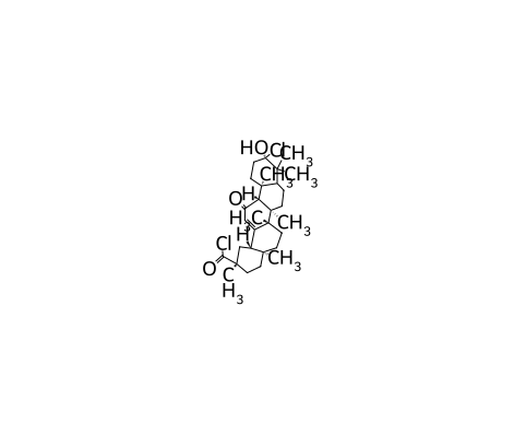 CC1(C)C2CC[C@]3(C)[C@H](C(=O)C=C4[C@H]5C[C@@](C)(C(=O)Cl)CC[C@]5(C)CC[C@]43C)[C@@]2(C)CC[C@@]1(O)Cl